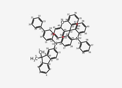 CC1(C)c2ccccc2-c2ccc(N(C3=CC=C(c4ccccc4)CC3)c3ccc4c(c3)C3(c5ccccc5Oc5ccccc53)c3ccccc3N4c3ccccc3)cc21